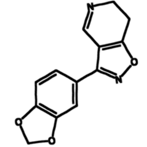 C1=NCCc2onc(-c3ccc4c(c3)OCO4)c21